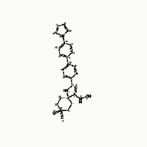 O=C(NO)C1(NCc2ccc(-c3ccc(-n4nccn4)cc3)cc2)CCS(=O)(=O)CC1